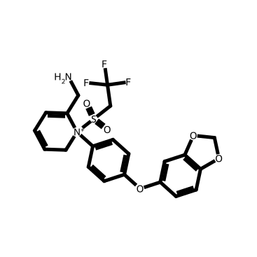 NCC1=CC=CC[N+]1(c1ccc(Oc2ccc3c(c2)OCO3)cc1)S(=O)(=O)CC(F)(F)F